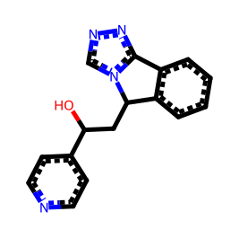 OC(CC1c2ccccc2-c2nncn21)c1ccncc1